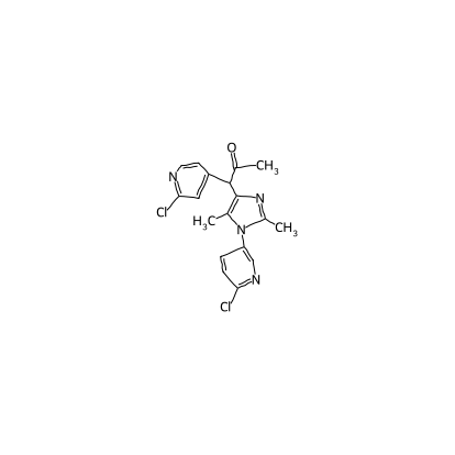 CC(=O)C(c1ccnc(Cl)c1)c1nc(C)n(-c2ccc(Cl)nc2)c1C